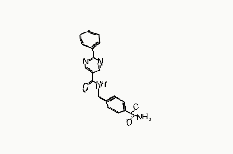 NS(=O)(=O)c1ccc(CNC(=O)c2cnc(-c3ccccc3)nc2)cc1